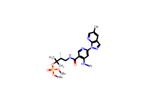 CCCCOP(=O)(OCCCC)OC(C)(C)[C@H](F)CNC(=O)c1cnc(-n2ncc3cc(C#N)cnc32)cc1NC(C)C